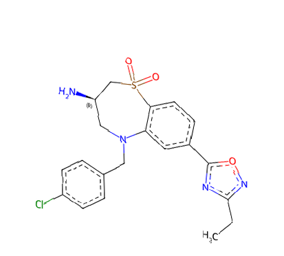 CCc1noc(-c2ccc3c(c2)N(Cc2ccc(Cl)cc2)C[C@@H](N)CS3(=O)=O)n1